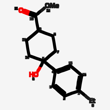 CCc1ccc(C2(O)CCC(C(=O)OC)CC2)cc1